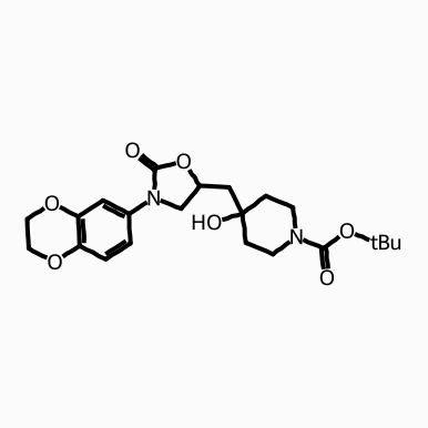 CC(C)(C)OC(=O)N1CCC(O)(CC2CN(c3ccc4c(c3)OCCO4)C(=O)O2)CC1